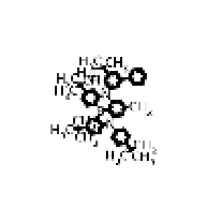 Cc1cc2c3c(c1)N(c1cc(-c4ccccc4)cc(C(C)(C)C)c1)c1cc(C(C)(C)C)ccc1B3c1cc(C(C)(C)C)ccc1N2c1ccc(C(C)(C)C)cc1